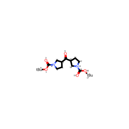 CC(C)(C)OC(=O)N1CCC(C(=O)C2CCN(C(=O)OC(C)(C)C)C2)C1